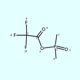 CP(C)(=O)OC(=O)C(F)(F)F